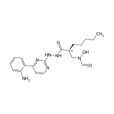 CCCCC[C@@H](CN(O)C=O)C(=O)NNc1nccc(-c2ccccc2N)n1